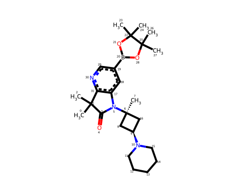 CC1(C)C(=O)N([C@]2(C)C[C@H](N3CCCCC3)C2)c2cc(B3OC(C)(C)C(C)(C)O3)cnc21